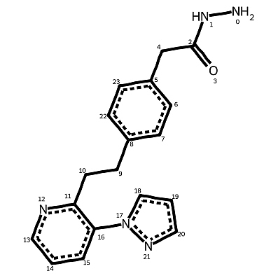 NNC(=O)Cc1ccc(CCc2ncccc2-n2cccn2)cc1